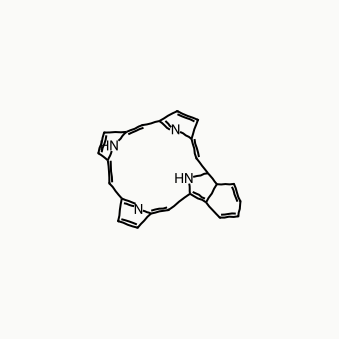 C1=CC2=C3C=C4C=CC(=N4)C=c4ccc([nH]4)=CC4=NC(=CC(N3)C2C=C1)C=C4